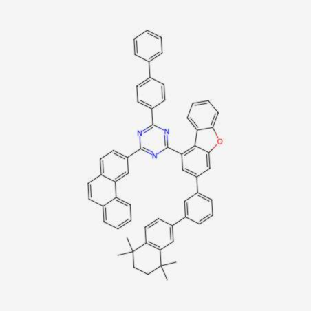 CC1(C)CCC(C)(C)c2cc(-c3cccc(-c4cc(-c5nc(-c6ccc(-c7ccccc7)cc6)nc(-c6ccc7ccc8ccccc8c7c6)n5)c5c(c4)oc4ccccc45)c3)ccc21